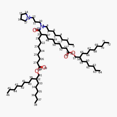 CCCCCCCCCN(CCCN1CCCC1)C(=O)C(CCCCCCCC(=O)OCC(CCCCCC)CCCCCCCC)CCCCCCCC(=O)OCC(CCCCCC)CCCCCCCC